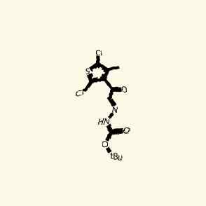 Cc1c(Cl)sc(Cl)c1C(=O)/C=N/NC(=O)OC(C)(C)C